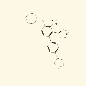 CC[C@H]1CC[C@@H](Cc2ccc(-c3ccc(C4CCNC4)cc3)c(-c3nnn[nH]3)c2S(N)(=O)=O)CC1